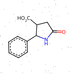 O=C1CC(C(=O)O)C(c2ccccc2)N1